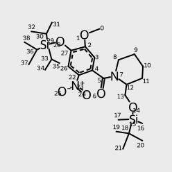 COc1cc(C(=O)N2CCCCC2CO[Si](C)(C)C(C)(C)C)c([N+](=O)[O-])cc1O[Si](C(C)C)(C(C)C)C(C)C